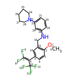 COc1ccc(C(=C(F)F)C(F)(F)F)cc1CNc1cccc(N2CCCCC2)c1